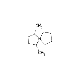 CC1CCC(C)[N+]12CCCC2